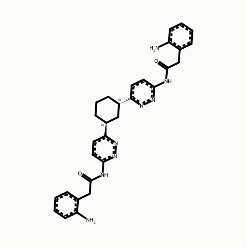 Nc1ccccc1CC(=O)Nc1ccc([C@H]2CCC[C@H](c3ccc(NC(=O)Cc4ccccc4N)nn3)C2)nn1